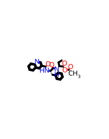 CC(=O)O[C@@H]1OCC[C@@H]1NC(=O)[C@H](Cc1ccccc1)NC(=O)c1cnc2ccccc2c1